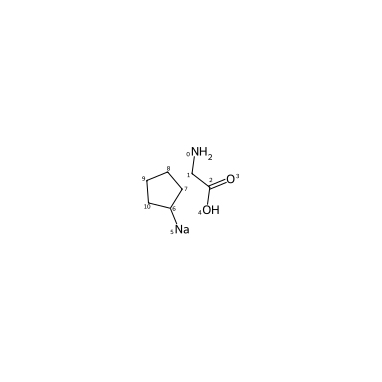 NCC(=O)O.[Na][CH]1CCCC1